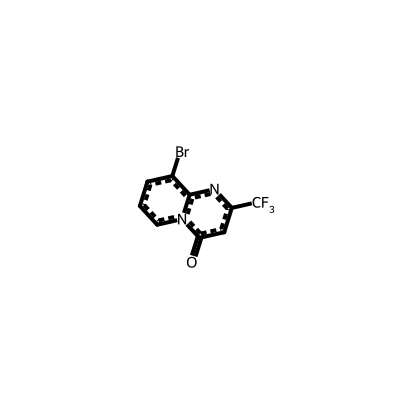 O=c1cc(C(F)(F)F)nc2c(Br)cccn12